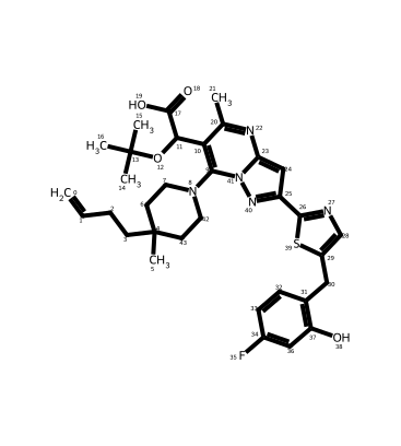 C=CCCC1(C)CCN(c2c(C(OC(C)(C)C)C(=O)O)c(C)nc3cc(-c4ncc(Cc5ccc(F)cc5O)s4)nn23)CC1